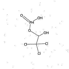 O=[PH](O)OC(O)C(Cl)(Cl)Cl